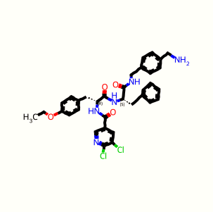 CCOc1ccc(C[C@@H](NC(=O)c2cnc(Cl)c(Cl)c2)C(=O)N[C@@H](Cc2ccccc2)C(=O)NCc2ccc(CN)cc2)cc1